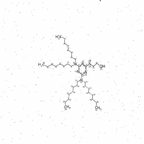 CCCCCCCCN(CCCCCCCC)c1nc(NCCO)nc(N(CCCCCCCC)CCCCCCCC)n1